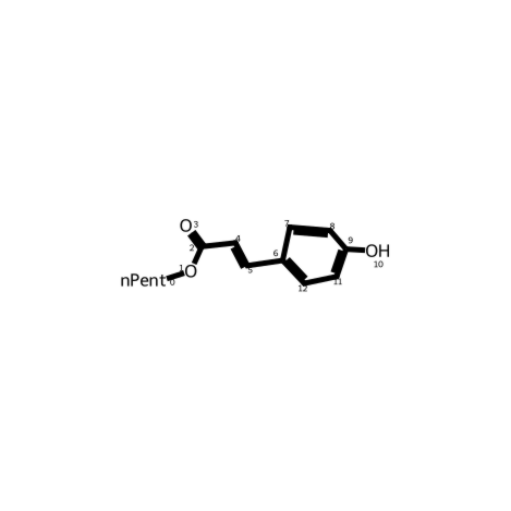 CCCCCOC(=O)C=Cc1ccc(O)cc1